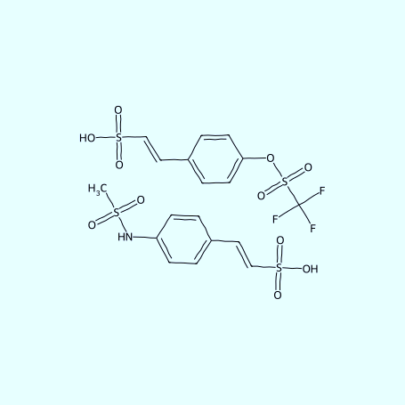 CS(=O)(=O)Nc1ccc(/C=C/S(=O)(=O)O)cc1.O=S(=O)(O)/C=C/c1ccc(OS(=O)(=O)C(F)(F)F)cc1